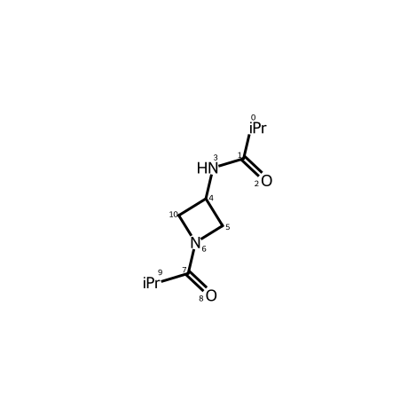 CC(C)C(=O)NC1CN(C(=O)C(C)C)C1